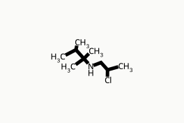 CC(Cl)CNC(C)(C)C(C)C